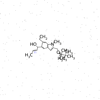 C=Cc1cc2c(cc1C(O)/C=C/C)cc(CO[Si](C)(C)C(C)(C)C)n2C